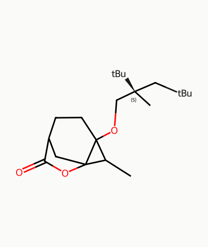 CC1C2(OC[C@@](C)(CC(C)(C)C)C(C)(C)C)CCC3CC12OC3=O